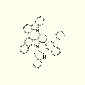 c1ccc(-c2ccc(-c3nc4ccccc4nc3-n3c4cccc(-n5c6ccccc6c6ccccc65)c4c4ccc5ccccc5c43)c3ccccc23)cc1